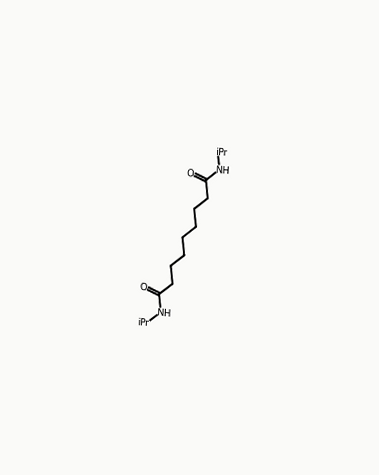 CC(C)NC(=O)CCCCCCCC(=O)NC(C)C